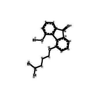 CCOc1cccc2c1-c1c(OCCCN(CC)CC)cccc1C2=O